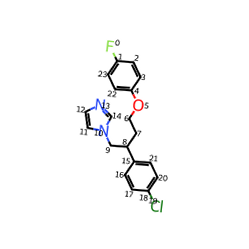 Fc1ccc(OCCC(Cn2ccnc2)c2ccc(Cl)cc2)cc1